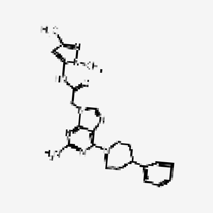 Cc1cc(NC(=O)Cn2cnc3c(N4CCC(c5ccccc5)CC4)nc(N)nc32)n(C)n1